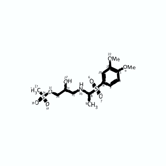 COc1ccc(S(=O)(=O)C(C)NCC(O)COS(C)(=O)=O)cc1OC